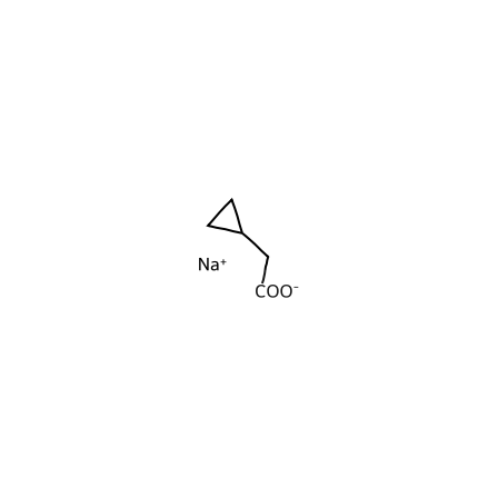 O=C([O-])CC1CC1.[Na+]